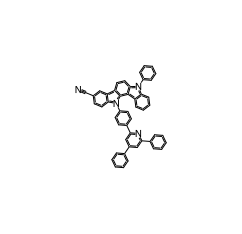 N#Cc1ccc2c(c1)c1ccc3c(c4ccccc4n3-c3ccccc3)c1n2-c1ccc(-c2cc(-c3ccccc3)cc(-c3ccccc3)n2)cc1